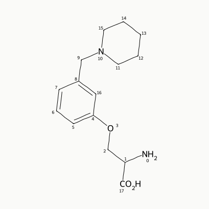 NC(COc1cccc(CN2CCCCC2)c1)C(=O)O